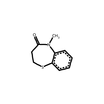 CN1C(=O)CCSc2ccccc21